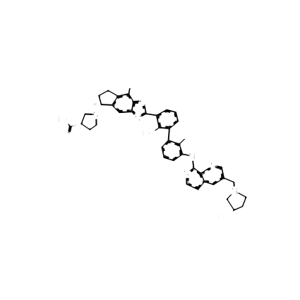 Cc1c(-c2nc3cc4c(c(F)c3o2)CC[C@H]4N2CC[C@@H](C(=O)O)C2)cccc1-c1cccc(Nc2nccc3cc(CN4CC[C@@H](O)C4)cnc23)c1Cl